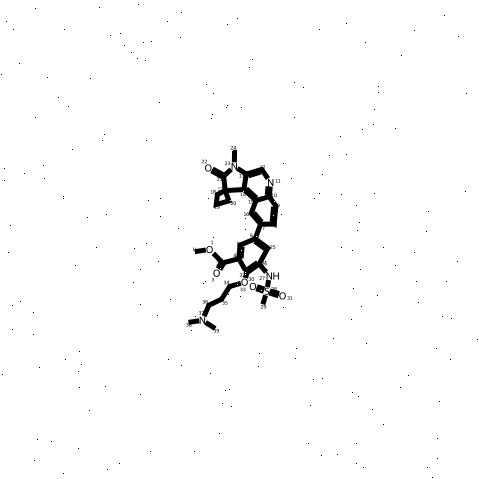 COC(=O)c1cc(-c2ccc3ncc4c(c3c2)C2(CCC2)C(=O)N4C)cc(NS(C)(=O)=O)c1OCCCN(C)C